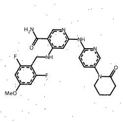 COc1cc(F)c(CNc2cc(Nc3ccc(N4CCCCC4=O)cn3)ncc2C(N)=O)c(F)c1